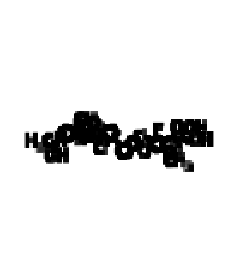 COc1cc(OC2CCc3c(-c4cccc(NC(=O)c5nc6c(n5C)CCN(C(C)CO)C6)c4Cl)cccc32)c(Cl)c(F)c1CNC(CO)C(=O)O